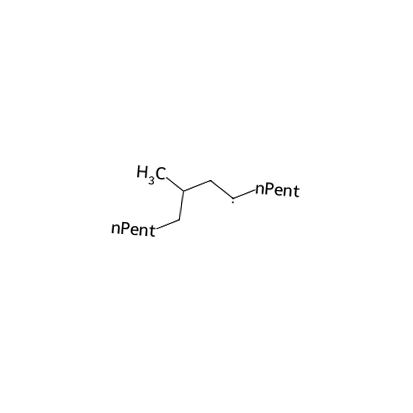 CCCCC[CH]CC(C)CCCCCC